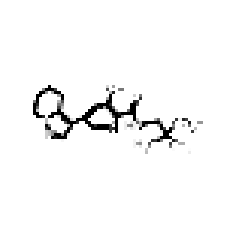 CC(C)(CNC(=O)c1ncc(-c2cnn3c2CCCC3)cc1O)C(=O)O